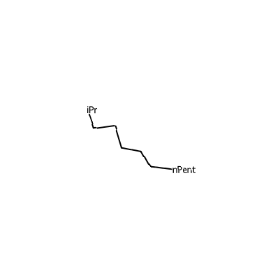 [CH2]CCCCCCCCCC([CH2])C